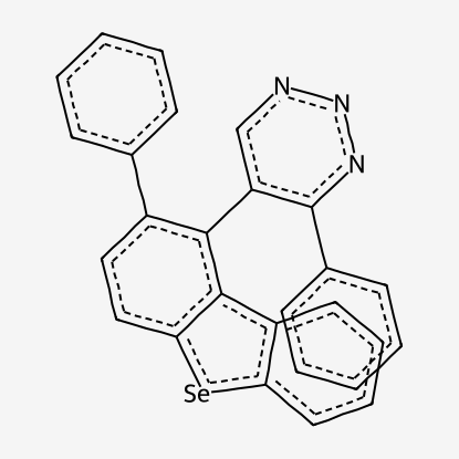 c1ccc(-c2ccc3[se]c4ccccc4c3c2-c2cnnnc2-c2ccccc2)cc1